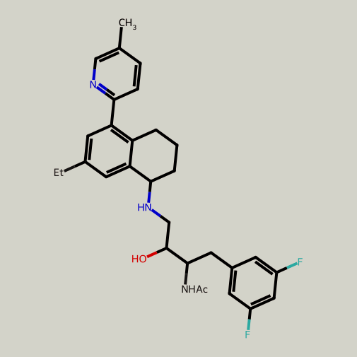 CCc1cc(-c2ccc(C)cn2)c2c(c1)C(NCC(O)C(Cc1cc(F)cc(F)c1)NC(C)=O)CCC2